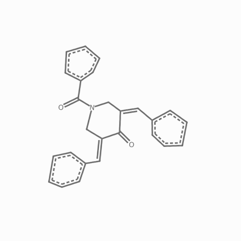 O=C1C(=Cc2ccccc2)CN(C(=O)c2ccccc2)CC1=Cc1ccccc1